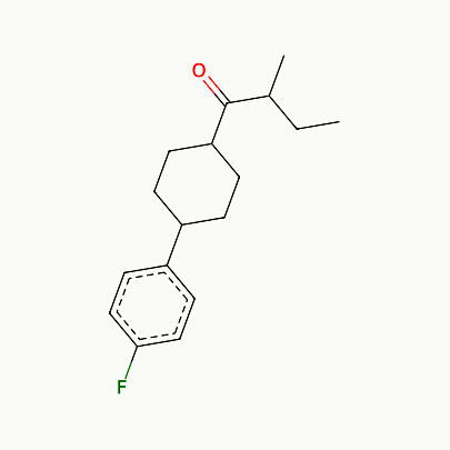 CCC(C)C(=O)C1CCC(c2ccc(F)cc2)CC1